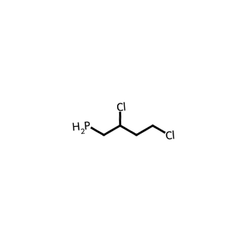 PCC(Cl)CCCl